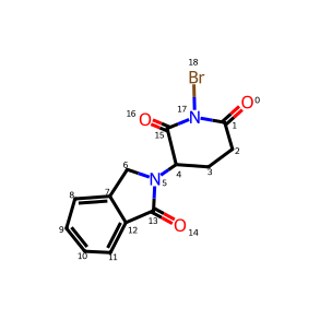 O=C1CCC(N2Cc3ccccc3C2=O)C(=O)N1Br